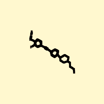 CCCCC1CCC(c2ccc(C#Cc3ccc(N=C=S)c(F)c3)cc2)CC1